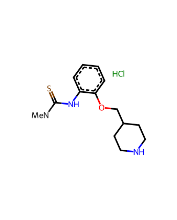 CNC(=S)Nc1ccccc1OCC1CCNCC1.Cl